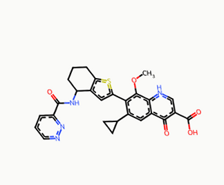 COc1c(-c2cc3c(s2)CCCC3NC(=O)c2cccnn2)c(C2CC2)cc2c(=O)c(C(=O)O)c[nH]c12